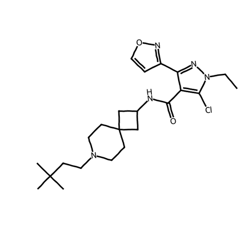 CCn1nc(-c2ccon2)c(C(=O)NC2CC3(CCN(CCC(C)(C)C)CC3)C2)c1Cl